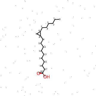 CCCCCCC1CC1CCCCCCCCCC(=O)O